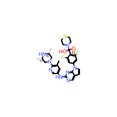 Cc1cc(Nc2ncc3ccn(-c4cc(F)c(C(O)(O)N5CCSCC5)c(F)c4)c3n2)cnc1N1C[C@@H](C)N[C@@H](C)C1